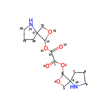 O=C(OC1OCC12CCCN2)C(=O)OC1OCC12CCCN2